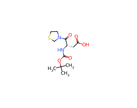 CC(C)(C)OC(=O)N[C@@H](CC(=O)O)C(=O)N1CCSC1